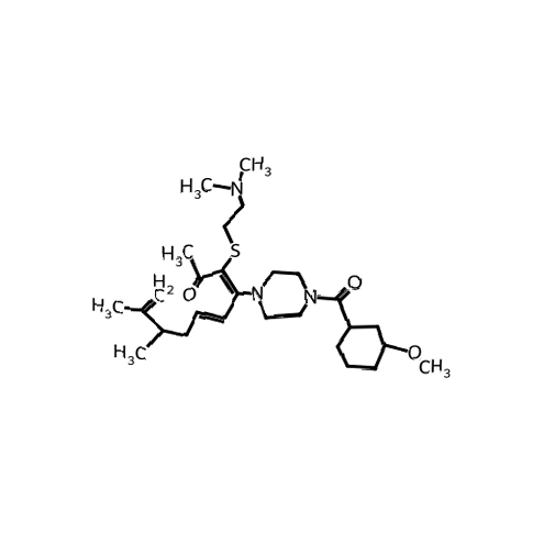 C=C(C)C(C)C/C=C/C(=C(/SCCN(C)C)C(C)=O)N1CCN(C(=O)C2CCCC(OC)C2)CC1